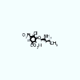 C=CC[C@@H](N)COc1cc(C(=O)O)cc([N+](=O)[O-])c1Cl